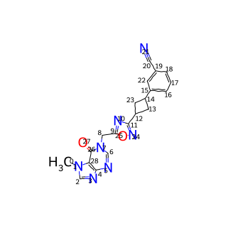 Cn1cnc2ncn(Cc3nc(C4CC(c5cccc(C#N)c5)C4)no3)c(=O)c21